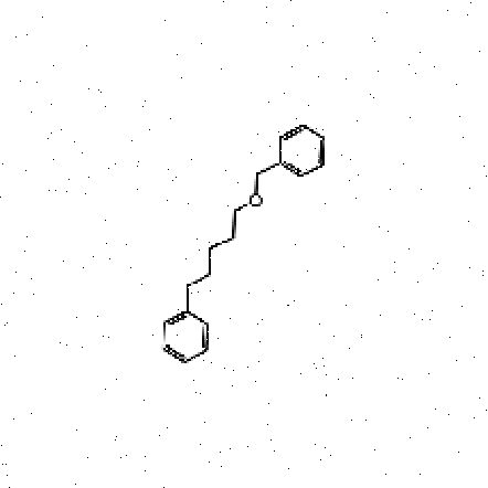 c1ccc(CCCCCOCc2ccccc2)cc1